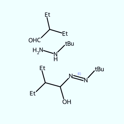 CC(C)(C)NN.CCC(C=O)CC.CCC(CC)C(O)/N=N/C(C)(C)C